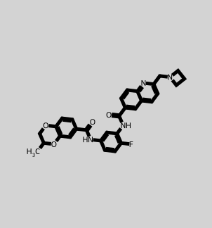 CC1COc2ccc(C(=O)Nc3ccc(F)c(NC(=O)c4ccc5nc(CN6CCC6)ccc5c4)c3)cc2O1